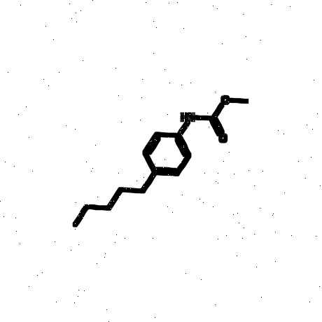 CCCCCc1ccc(NC(=O)OC)cc1